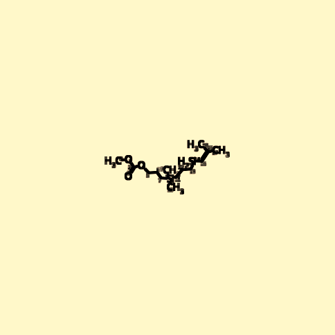 COC(=O)OCCC[Si](C)(C)CCC[SiH2]C=C(C)C